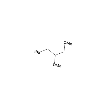 COCC(CC(C)(C)C)OC